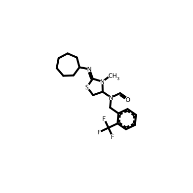 CN1C(=NC2CCCCCC2)SCC1N(C=O)Cc1ccccc1C(F)(F)F